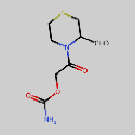 NC(=O)OCC(=O)N1CCSCC1C=O